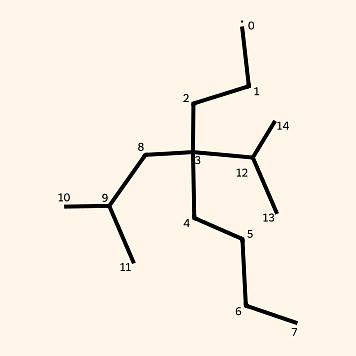 [CH2]CCC(CCCC)(CC(C)C)C(C)C